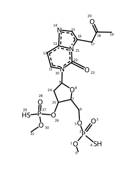 COP(=O)(S)OCC1OC(n2ccc3ncc(CC(C)=O)n3c2=O)CC1OP(=O)(S)OC